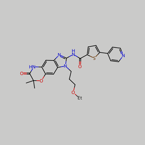 CCOCCCn1c(NC(=O)c2ccc(-c3ccncc3)s2)nc2cc3c(cc21)OC(C)(C)C(=O)N3